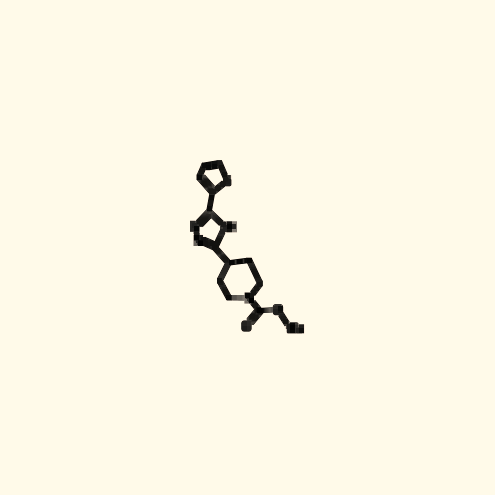 CC(C)(C)OC(=O)N1CCC(c2nnc(-c3cccs3)[nH]2)CC1